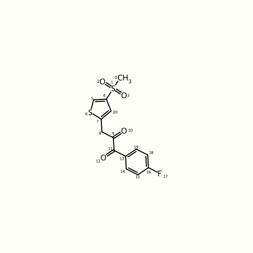 CS(=O)(=O)c1csc(CC(=O)C(=O)c2ccc(F)cc2)c1